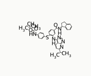 CC(C)c1ccc2c(Nc3cc(C(=O)N[C@H]4CCc5ccccc54)ccc3Sc3ccc(NC(=O)OC(C)(C)C)cc3)ncnc2n1